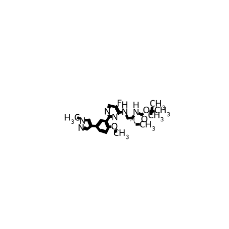 CC[C@H](CNc1nc(-c2cc(-c3cnn(C)c3)ccc2OC)ncc1F)NC(=O)OC(C)(C)C